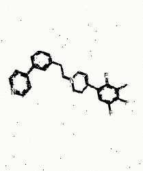 Cc1c(F)c(F)cc(C2=CCN(CCc3cccc(-c4ccncc4)c3)CC2)c1F